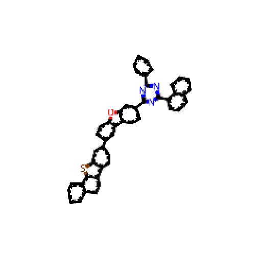 c1ccc(-c2nc(-c3ccc4c(c3)oc3ccc(-c5ccc6c(c5)sc5c7ccccc7ccc65)cc34)nc(-c3cccc4ccccc34)n2)cc1